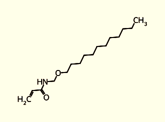 C=CC(=O)NCOCCCCCCCCCCCC